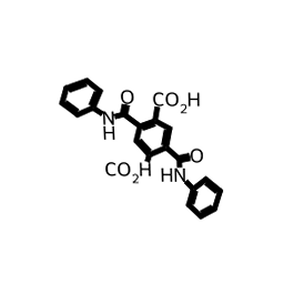 O=C(O)c1cc(C(=O)Nc2ccccc2)c(C(=O)O)cc1C(=O)Nc1ccccc1